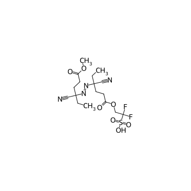 CCC(C#N)(CCC(=O)OC)N=NC(C#N)(CC)CCC(=O)OCC(F)(F)S(=O)(=O)O